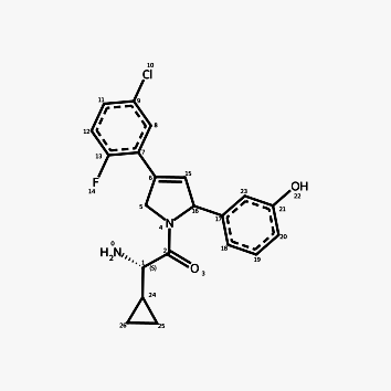 N[C@H](C(=O)N1CC(c2cc(Cl)ccc2F)=CC1c1cccc(O)c1)C1CC1